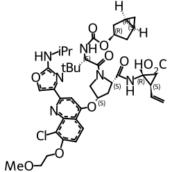 C=C[C@@H]1C[C@]1(NC(=O)[C@@H]1C[C@H](Oc2cc(-c3coc(NC(C)C)n3)nc3c(Cl)c(OCCOC)ccc23)CN1C(=O)[C@@H](NC(=O)O[C@@H]1C[C@@H]2C[C@@H]2C1)C(C)(C)C)C(=O)O